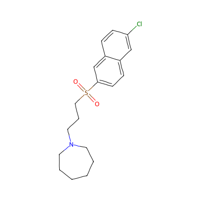 O=S(=O)(CCCN1CCCCCC1)c1ccc2cc(Cl)ccc2c1